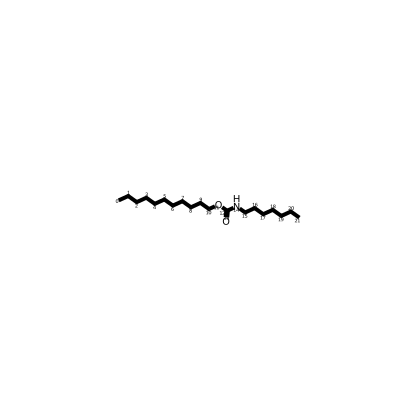 CCCCCCCCCCCOC(=O)NCCCCCCC